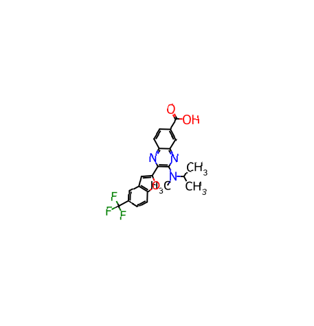 CC(C)N(C)c1nc2cc(C(=O)O)ccc2nc1-c1cc2cc(C(F)(F)F)ccc2o1